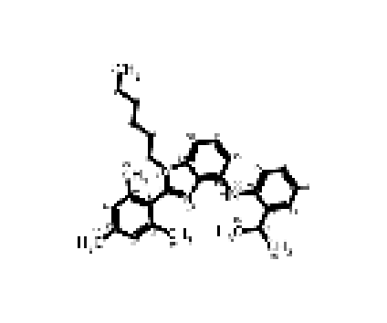 CCCCCCn1c(-c2c(C)cc(C)cc2C)nc2c(Nc3ccccc3C(C)C)cccc21